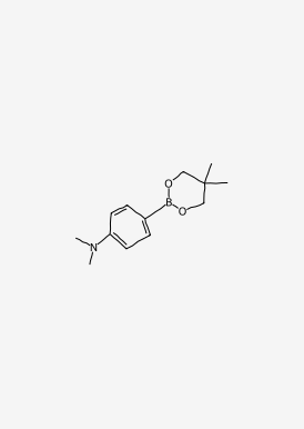 CN(C)c1ccc(B2OCC(C)(C)CO2)cc1